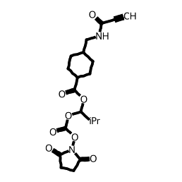 C#CC(=O)NCC1CCC(C(=O)OC(OC(=O)ON2C(=O)CCC2=O)C(C)C)CC1